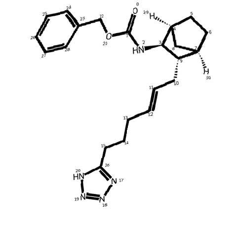 O=C(N[C@H]1[C@H]2CC[C@H](C2)[C@@H]1CC=CCCCc1nnn[nH]1)OCc1ccccc1